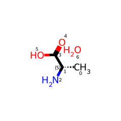 C[C@H](N)C(=O)O.O